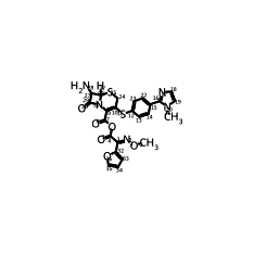 CON=C(C(=O)OC(=O)C1=C(Sc2ccc(-c3nccn3C)cc2)CS[C@H]2C(N)C(=O)N12)c1ccco1